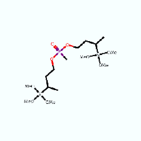 CO[Si](OC)(OC)C(C)CCOP(C)(=O)OCCC(C)[Si](OC)(OC)OC